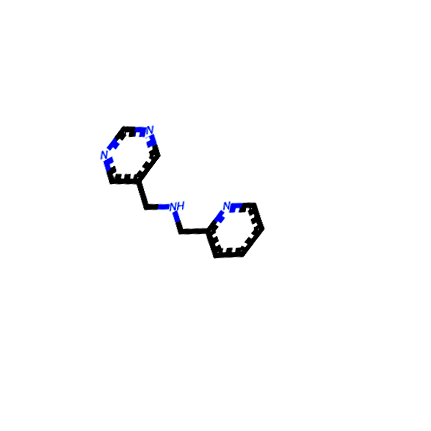 c1ccc(CNCc2cncnc2)nc1